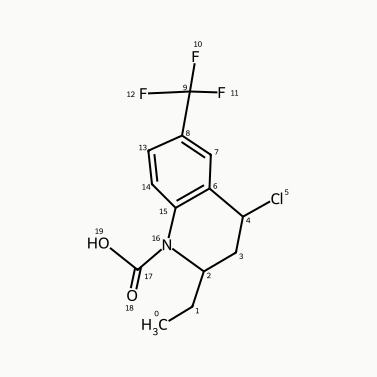 CCC1CC(Cl)c2cc(C(F)(F)F)ccc2N1C(=O)O